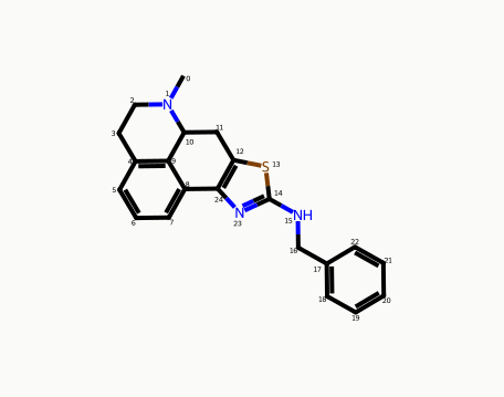 CN1CCc2cccc3c2C1Cc1sc(NCc2ccccc2)nc1-3